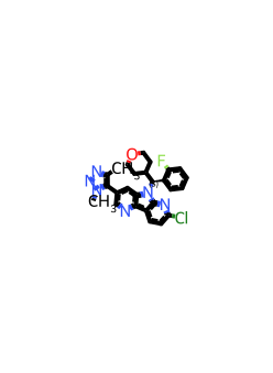 Cc1nnn(C)c1-c1cnc2c3ccc(Cl)nc3n([C@H](c3ccccc3F)C3CCOCC3)c2c1